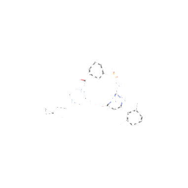 Cc1cccc(C)c1-c1cc2nc(n1)NS(=O)(=O)c1cccc(c1)C(=O)N1CCN(CCC3(C(F)(F)F)CC3)CC1CO2